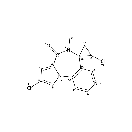 CN1C(=O)c2cc(Cl)cn2-c2ccncc2C12CC2Cl